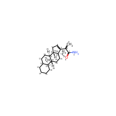 C=C(C(N)=O)C1=CC[C@H]2[C@@H]3CCC4CCCC[C@]4(C)[C@H]3CC[C@]12C